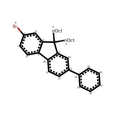 CCCCCCCCC1(CCCCCCCC)c2cc(Br)ccc2-c2ccc(-c3ccccc3)cc21